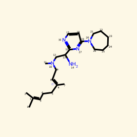 CC(C)=CCC/C(C)=C/CN(C)CC(N)c1nccc(N2CCCCCC2)n1